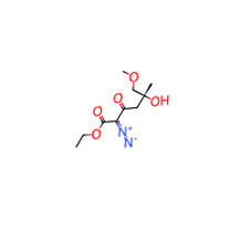 CCOC(=O)C(=[N+]=[N-])C(=O)C[C@@](C)(O)COC